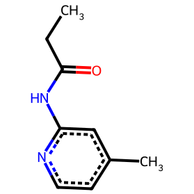 CCC(=O)Nc1cc(C)ccn1